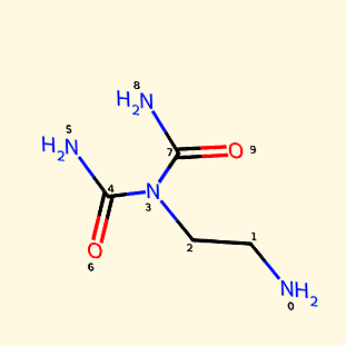 NCCN(C(N)=O)C(N)=O